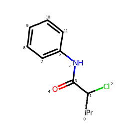 CC(C)C(Cl)C(=O)Nc1ccccc1